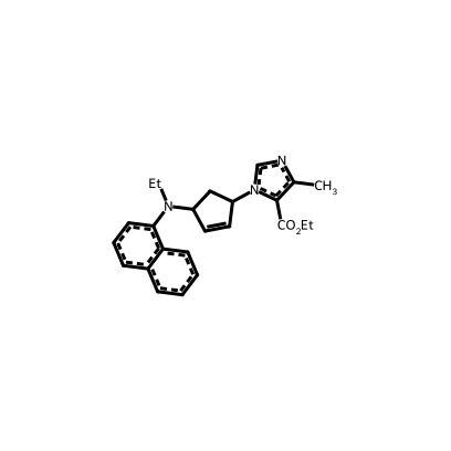 CCOC(=O)c1c(C)ncn1C1C=CC(N(CC)c2cccc3ccccc23)C1